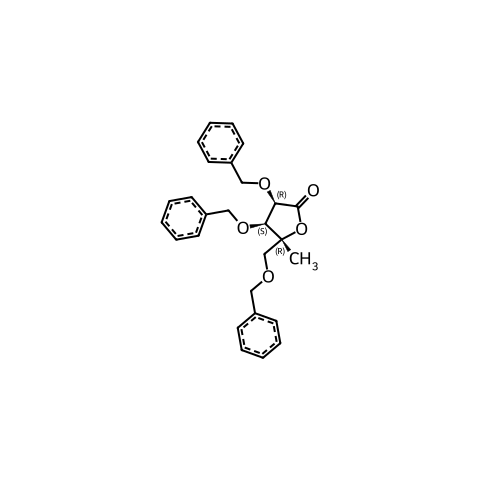 C[C@]1(COCc2ccccc2)OC(=O)[C@H](OCc2ccccc2)[C@@H]1OCc1ccccc1